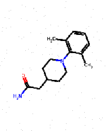 Cc1cccc(C)c1N1CCC(CC(N)=O)CC1